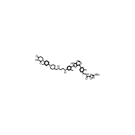 Cc1cc(NCCNCC2CCN(c3ccc(N4CCC(=O)NC4=O)c(C)c3)CC2)ccc1-c1nc2c(-c3ccc([C@@H](C)NC(=O)c4nc(C(C)(C)C)no4)c(C)c3)ncnc2[nH]1